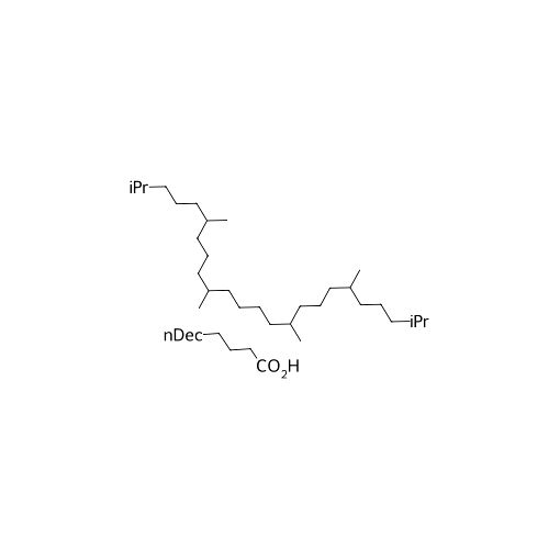 CC(C)CCCC(C)CCCC(C)CCCCC(C)CCCC(C)CCCC(C)C.CCCCCCCCCCCCCC(=O)O